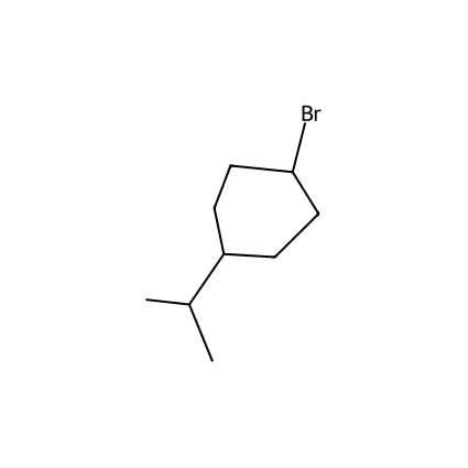 CC(C)C1CCC(Br)CC1